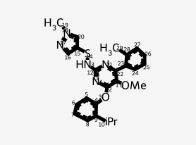 COc1c(Oc2ccccc2C(C)C)nc(NSc2cnn(C)c2)nc1-c1ccccc1C